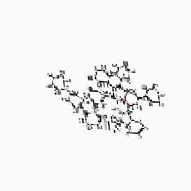 CC1(C)c2ccccc2-c2ccc(N(c3ccc(-c4cc(-c5ccccc5)ccc4-c4ccccc4)cc3)c3c(-c4cccc(-c5ccccc5)c4)c4ccccc4c4ccccc34)cc21